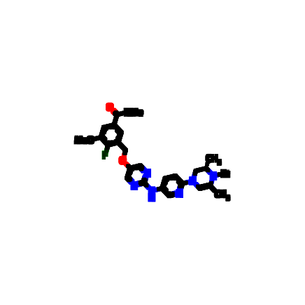 CCN1C(C)=CN(c2ccc(Nc3ncc(OCc4cc(C(=O)NC)cc(OC)c4F)cn3)cn2)C[C@@H]1C